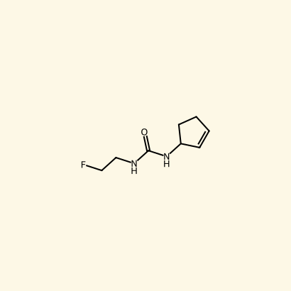 O=C(NCCF)NC1C=CCC1